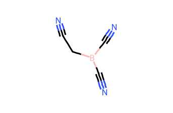 N#CCB(C#N)C#N